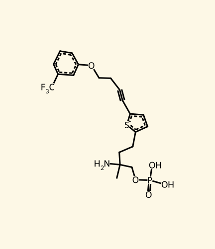 CC(N)(CCc1ccc(C#CCCOc2cccc(C(F)(F)F)c2)s1)COP(=O)(O)O